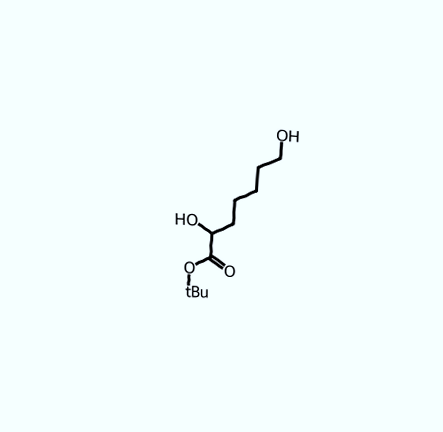 CC(C)(C)OC(=O)C(O)CCCCCO